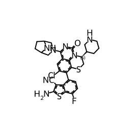 N#Cc1c(N)sc2c(F)ccc(-c3c(Cl)cc4c(N5CC6CCC(C5)N6)nc(=O)n5c4c3SC[C@@H]5C3CCCNC3)c12